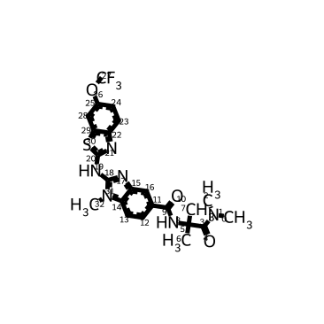 CN(C)C(=O)C(C)(C)NC(=O)c1ccc2c(c1)nc(Nc1nc3ccc(OC(F)(F)F)cc3s1)n2C